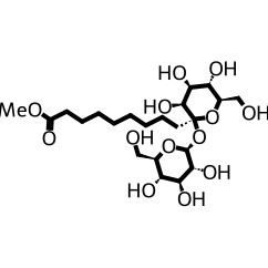 COC(=O)CCCCCCCC[C@@]1(O[C@@H]2O[C@H](CO)[C@@H](O)[C@H](O)[C@H]2O)O[C@H](CO)[C@@H](O)[C@H](O)[C@@H]1O